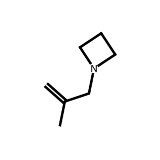 C=C(C)CN1CCC1